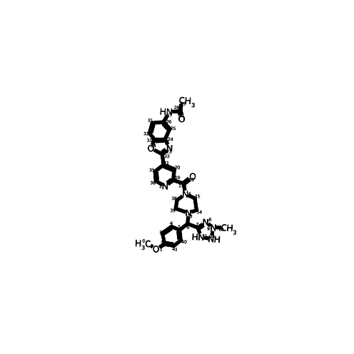 COc1ccc(C(C2=NN(C)NN2)N2CCN(C(=O)c3cc(-c4nc5cc(NC(C)=O)ccc5o4)ccn3)CC2)cc1